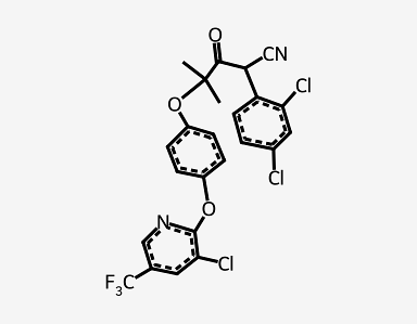 CC(C)(Oc1ccc(Oc2ncc(C(F)(F)F)cc2Cl)cc1)C(=O)C(C#N)c1ccc(Cl)cc1Cl